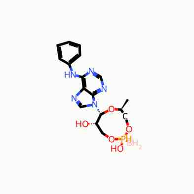 B[PH]1(O)OC[C@H](C)O[C@@H](n2cnc3c(Nc4ccccc4)ncnc32)[C@@H](O)CO1